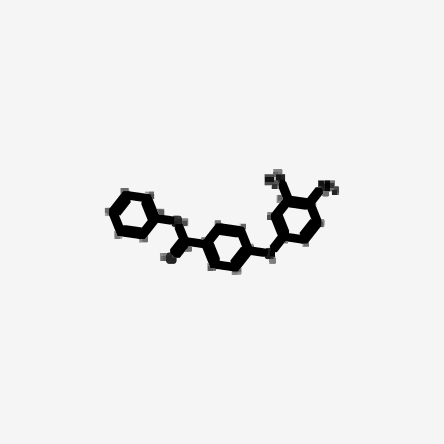 Nc1ccc(Oc2ccc(C(=O)Oc3ccccc3)cc2)cc1N